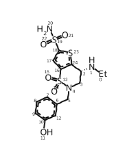 CCN[C@@H]1CN(Cc2cccc(O)c2)S(=O)(=O)c2cc(S(N)(=O)=O)sc21